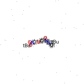 CC(C)(C)OC(=O)N1CCC(COc2ccc(C(=O)N3CCN(c4ccccc4C(C)(C)C)CC3)cc2)CC1